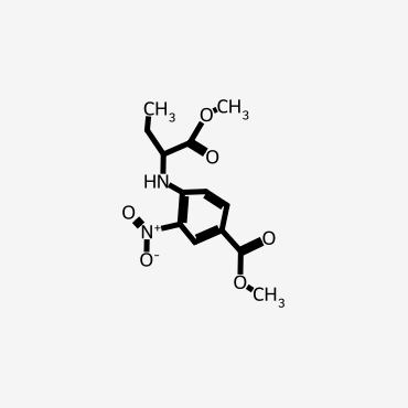 CCC(Nc1ccc(C(=O)OC)cc1[N+](=O)[O-])C(=O)OC